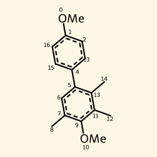 COc1c[c]c(-c2cc(C)c(OC)c(C)c2C)cc1